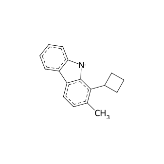 Cc1ccc2c(c1C1CCC1)[N]c1ccccc1-2